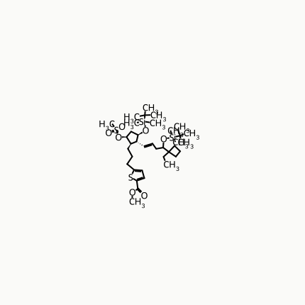 CCC1(C(CC=C[C@@H]2[C@@H](CCCc3ccc(C(=O)OC)s3)[C@@H](OS(C)(=O)=O)C[C@H]2O[Si](C)(C)C(C)(C)C)O[Si](C)(C)C(C)(C)C)CCC1